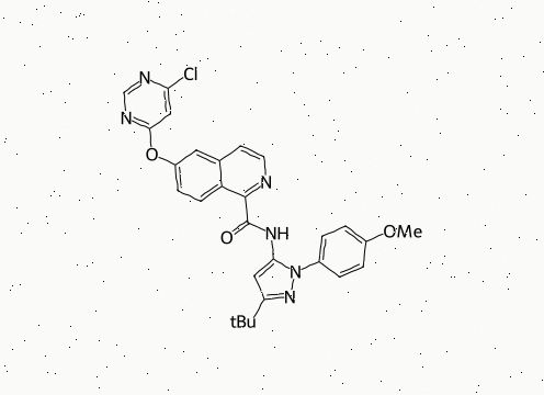 COc1ccc(-n2nc(C(C)(C)C)cc2NC(=O)c2nccc3cc(Oc4cc(Cl)ncn4)ccc23)cc1